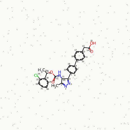 CC1=NN=C(c2ccc(-c3ccc(CC(=O)O)cc3)cc2)[C@@H]1NC(=O)OC(C)c1ccccc1Cl